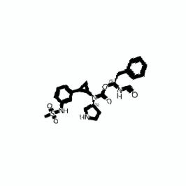 CS(=O)(=O)Nc1cccc(C2CC2N(C(=O)O[C@@H](Cc2ccccc2)NC=O)[C@H]2CCNC2)c1